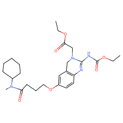 CCOC(=O)CN1Cc2cc(OCCCC(=O)N(C)C3CCCCC3)ccc2N=C1NC(=O)OCC